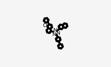 c1ccc(-c2ccc(-c3nc(-c4ccc5ccccc5c4)nc(-c4cccc5c4ccc4c6ccccc6oc54)n3)cc2)cc1